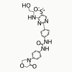 C[S+]([O-])c1cnc(-c2ccc(NC(=O)Nc3ccc(N4CCOCC4=O)cc3)cc2)nc1NCCO